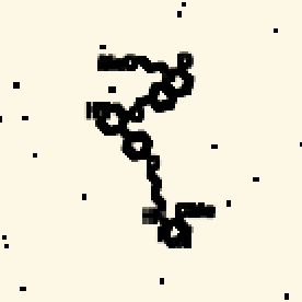 COCCCN1C(=O)CCc2ccc(COC3CNCCC3c3ccc(OCCCCNc4ncncc4OC)cc3)cc21